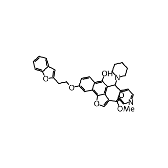 COC(=O)c1coc2c1c(C(c1ccncc1)N1CCCCC1)c(O)c1ccc(OCCc3cc4ccccc4o3)cc12